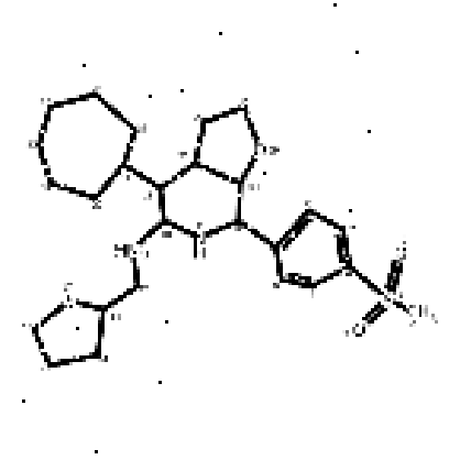 CS(=O)(=O)c1ccc(C2NC(NCC3CCCS3)C(C3CCCCCC3)C3CCOC23)cc1